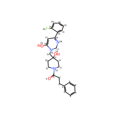 O=C(CCc1ccccc1)N1CCC(O)(CN2CN=C(c3ccccc3F)C=C2O)CC1